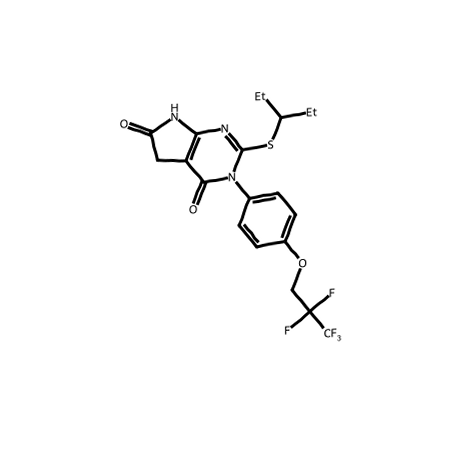 CCC(CC)Sc1nc2c(c(=O)n1-c1ccc(OCC(F)(F)C(F)(F)F)cc1)CC(=O)N2